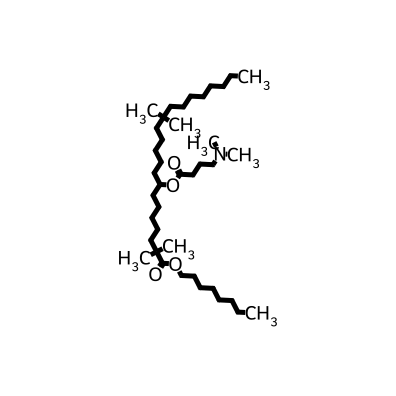 CCCCCCCCOC(=O)C(C)(C)CCCCCC(CCCCCC(C)(C)CCCCCCCC)OC(=O)CCCN(C)C